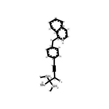 C[SiH2]C([SiH2]C)(C(F)C#Cc1ccc(Cc2nccc3ccccc23)cc1)C(C)(C)C